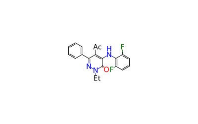 CCn1nc(-c2ccccc2)c(C(C)=O)c(Nc2c(F)cccc2F)c1=O